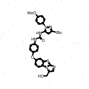 COc1ccc(-n2nc(C(C)(C)C)cc2NC(=O)Nc2ccc(Oc3ccc4c(c3)sc3ncc(CO)n34)cc2)cc1